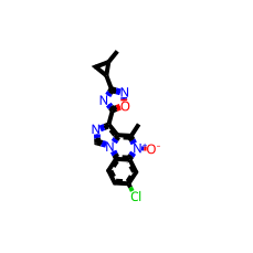 Cc1c2c(-c3nc(C4CC4C)no3)ncn2c2ccc(Cl)cc2[n+]1[O-]